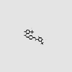 Cc1cc(O)c(C(C)(C)C)cc1C(C)C=c1ccc(=CC(C)c2cc(C(C)(C)C)c(O)cc2C)cc1